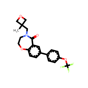 CC1(CN2CCOc3ccc(-c4ccc(OC(F)(F)F)cc4)cc3C2=O)COC1